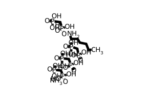 CCCCCCN.N.O=P(O)(O)CP(=O)(O)O.O=P(O)(O)CP(=O)(O)O.O=P(O)(O)CP(=O)(O)O.O=P(O)(O)CP(=O)(O)O